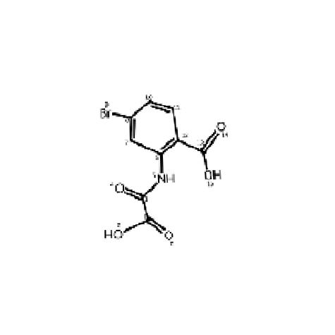 O=C(O)C(=O)Nc1cc(Br)ccc1C(=O)O